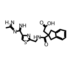 C/C(N)=N/C(=N)c1csc(CNC(=O)C2(CC(=O)O)Cc3ccccc3C2)n1